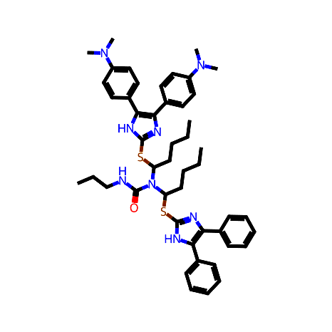 CCCCC(Sc1nc(-c2ccccc2)c(-c2ccccc2)[nH]1)N(C(=O)NCCC)C(CCCC)Sc1nc(-c2ccc(N(C)C)cc2)c(-c2ccc(N(C)C)cc2)[nH]1